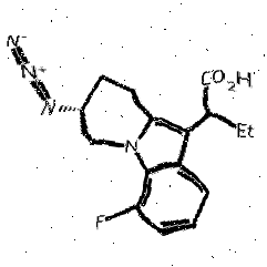 CCC(C(=O)O)c1c2n(c3c(F)cccc13)C[C@H](N=[N+]=[N-])CC2